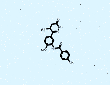 CC(=O)Oc1ccc(C2=NNC(=O)CC2C)cc1NC(=O)c1ccc(C#N)cc1